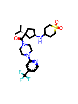 CC(C)[C@]1(C(=O)N2CCN(c3cc(C(F)(F)F)ccn3)CC2)CC[C@@H](NC2CCS(=O)(=O)CC2)C1